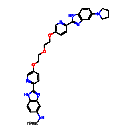 CCCCCNc1ccc2[nH]c(-c3ccc(OCCOCCOc4ccc(-c5nc6cc(N7CCCC7)ccc6[nH]5)nc4)cn3)nc2c1